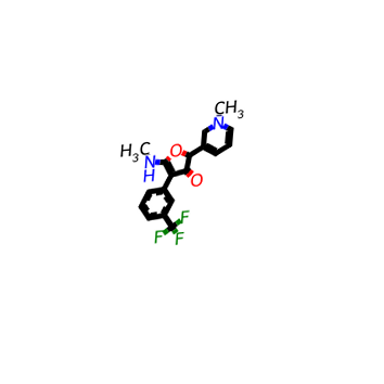 CNC1=C(c2cccc(C(F)(F)F)c2)C(=O)C(C2=CC=CN(C)C2)O1